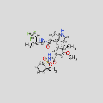 COc1cc(C(=O)NS(=O)(=O)c2ccccc2C)ccc1C(C)c1c[nH]c2ccc(C(=O)NC[C@H](C)CC(F)(F)F)cc12